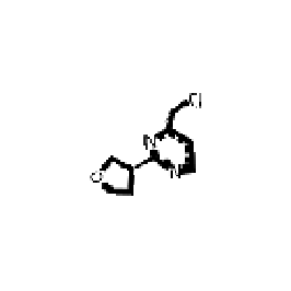 ClCc1ccnc([C@H]2CCOC2)n1